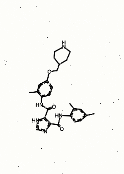 Cc1ccc(NC(=O)c2nc[nH]c2C(=O)Nc2ccc(OCC3CCNCC3)cc2C)c(C)c1